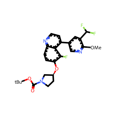 COc1ncc(-c2ccnc3ccc(O[C@H]4CCN(C(=O)OC(C)(C)C)C4)c(F)c23)cc1C(F)F